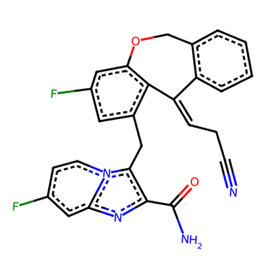 N#CC/C=C1\c2ccccc2COc2cc(F)cc(Cc3c(C(N)=O)nc4cc(F)ccn34)c21